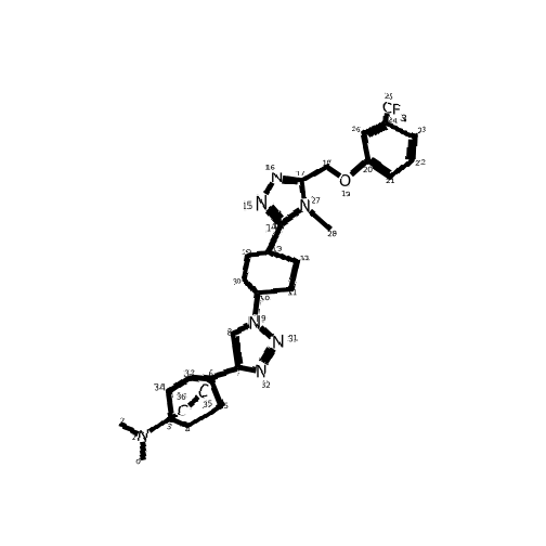 CN(C)C12CCC(c3cn(C4CCC(c5nnc(COc6cccc(C(F)(F)F)c6)n5C)CC4)nn3)(CC1)CC2